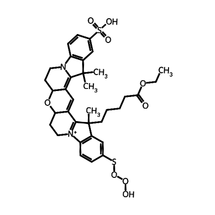 CCOC(=O)CCCCC1(C)C2=[N+](CCC3OC4CCN5C(=C4C=C23)C(C)(C)c2cc(S(=O)(=O)O)ccc25)c2ccc(SOOO)cc21